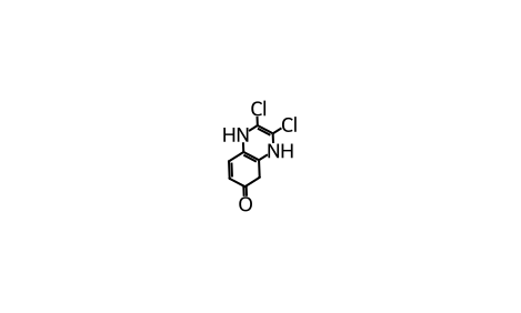 O=C1C=CC2=C(C1)NC(Cl)=C(Cl)N2